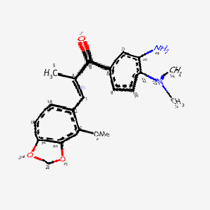 COc1c(/C=C(\C)C(=O)c2ccc(N(C)C)c(N)c2)ccc2c1OCO2